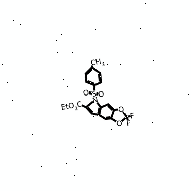 CCOC(=O)c1cc2cc3c(cc2n1S(=O)(=O)c1ccc(C)cc1)OC(F)(F)O3